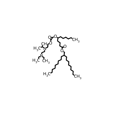 CCCCCCCCCC(CCCCCCCCC)COC(=O)CCCC(CCCCCC)OC1OC1OCCN(CCN(CC)CC)C(C)C